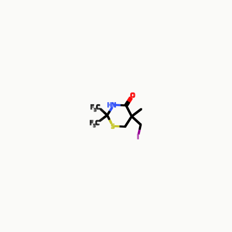 CC1(CI)CSC(C(F)(F)F)(C(F)(F)F)NC1=O